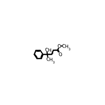 COC(=O)CCC(C)(C)c1ccccc1